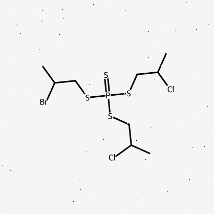 CC(Cl)CSP(=S)(SCC(C)Cl)SCC(C)Br